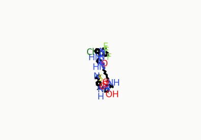 Cc1ncsc1-c1ccc([C@H](C)NC(=O)[C@@H]2C[C@@H](O)CN2C(=O)[C@@H](NC(=O)CCCCCCCNC(=O)N2CC[C@H](NC3=Nc4cc(F)ccc4N(CC(F)F)c4ccc(Cl)cc43)C2)C(C)(C)C)cc1